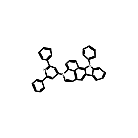 C1=CN(c2cc(-c3ccccc3)nc(-c3ccccc3)c2)c2cccc3c2c1cc1c2ccccc2n(-c2ccccc2)c31